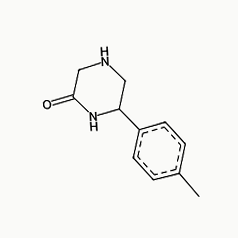 Cc1ccc(C2CNCC(=O)N2)cc1